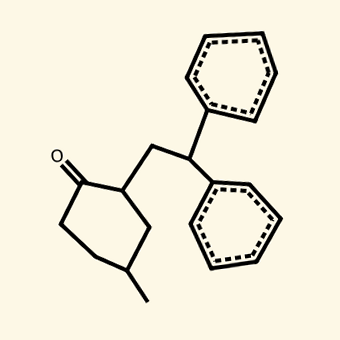 CC1CCC(=O)C(CC(c2ccccc2)c2ccccc2)C1